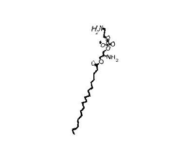 CCCCCCCCCCCCCCCCCC(=O)OC[C@H](N)COP(=O)(OC)OCCN